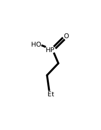 CCCC[PH](=O)O